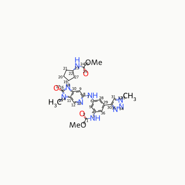 COC(=O)Nc1cc(Nc2cc3c(cn2)n(C)c(=O)n3[C@@H]2CC[C@@H](NC(=O)OC)C2)cc(-c2cn(C)nn2)c1